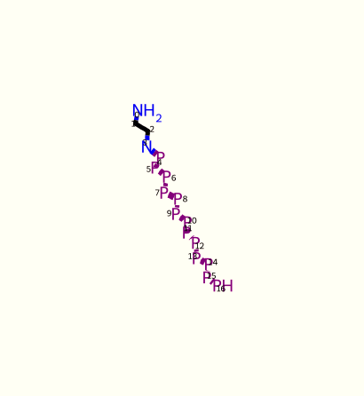 NCCN=PP=PP=PP=PP=PP=PP=P